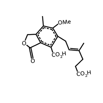 COc1c(C)c2c(c(C(=O)O)c1C/C=C(\C)CCC(=O)O)C(=O)OC2